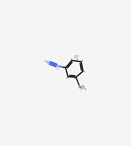 N#[N+]c1cccc([N+](=O)[O-])c1.[Cl-]